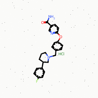 Cl.NC(=O)c1ccc(Oc2ccc(CN3CCCC(c4ccc(F)cc4)C3)cc2)nc1